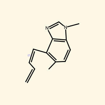 C=C/C=C\c1c(C)ccc2c1ncn2C